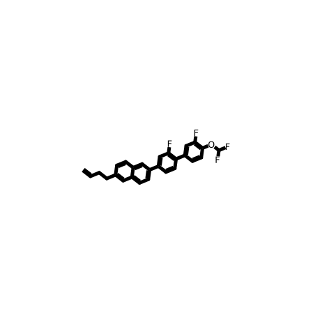 C=CCCc1ccc2cc(-c3ccc(-c4ccc(OC(F)F)c(F)c4)c(F)c3)ccc2c1